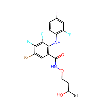 CCC(O)CCONC(=O)c1cc(Br)c(F)c(F)c1Nc1ccc(I)cc1F